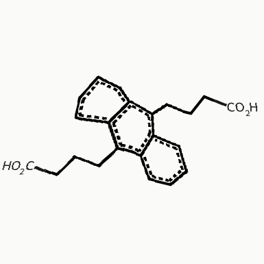 O=C(O)CCCc1c2ccccc2c(CCCC(=O)O)c2ccccc12